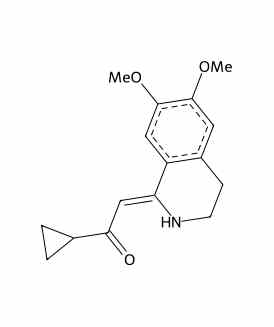 COc1cc2c(cc1OC)C(=CC(=O)C1CC1)NCC2